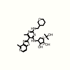 Cc1nc(NCC2CCCOC2)nc(NC2C[C@H](C(C)(C)O)[C@@H](O)[C@H]2O)c1-c1nc2c(C)nccc2s1